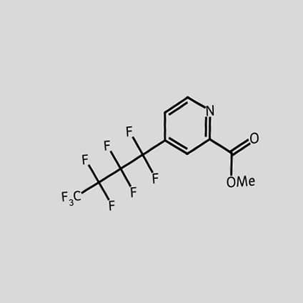 COC(=O)c1cc(C(F)(F)C(F)(F)C(F)(F)C(F)(F)F)ccn1